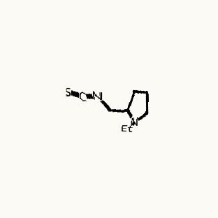 CCN1CCCC1CN=C=S